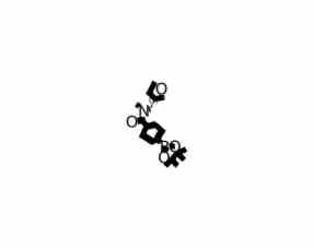 CN(C[C@@H]1CCOC1)C(=O)c1ccc(B2OC(C)(C)C(C)(C)O2)cc1